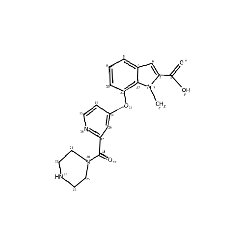 Cn1c(C(=O)O)cc2cccc(Oc3ccnc(C(=O)N4CCNCC4)c3)c21